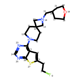 FCCc1cc2c(N3CCC4(CC3)CN(CC3CCOCC3)C4)ncnc2s1